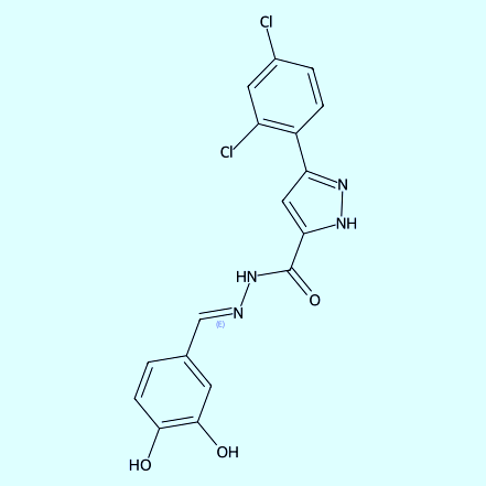 O=C(N/N=C/c1ccc(O)c(O)c1)c1cc(-c2ccc(Cl)cc2Cl)n[nH]1